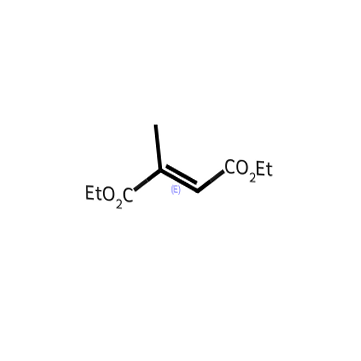 CCOC(=O)/C=C(\C)C(=O)OCC